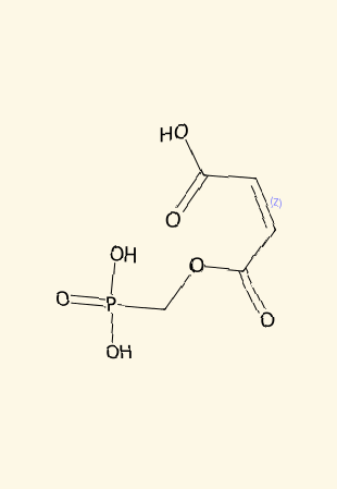 O=C(O)/C=C\C(=O)OCP(=O)(O)O